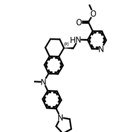 COC(=O)c1ccncc1NC[C@@H]1CCCc2cc(N(C)c3ccc(N4CCCC4)cc3)ccc21